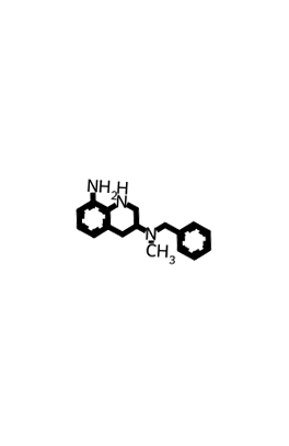 CN(Cc1ccccc1)C1CNc2c(N)cccc2C1